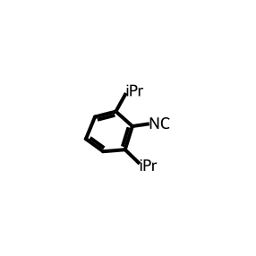 [C-]#[N+]c1c(C(C)C)cccc1C(C)C